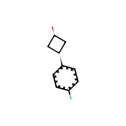 O[C@H]1C[C@@H](c2ccc(F)cc2)C1